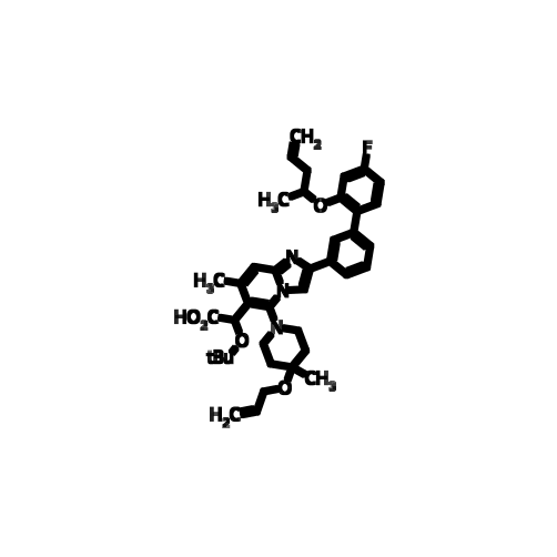 C=CCOC1(C)CCN(c2c(C(OC(C)(C)C)C(=O)O)c(C)cc3nc(-c4cccc(-c5ccc(F)cc5OC(C)CC=C)c4)cn23)CC1